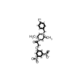 C[C@@H]1CN(Cc2ccc(F)cc2)[C@@H](C)CN1C(=O)COc1cc([N+](=O)[O-])cc([N+](=O)[O-])c1